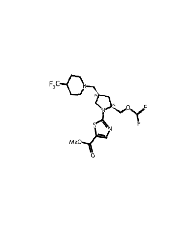 COC(=O)c1cnc(N2C[C@@H](CN3CCC(C(F)(F)F)CC3)C[C@H]2COC(F)F)s1